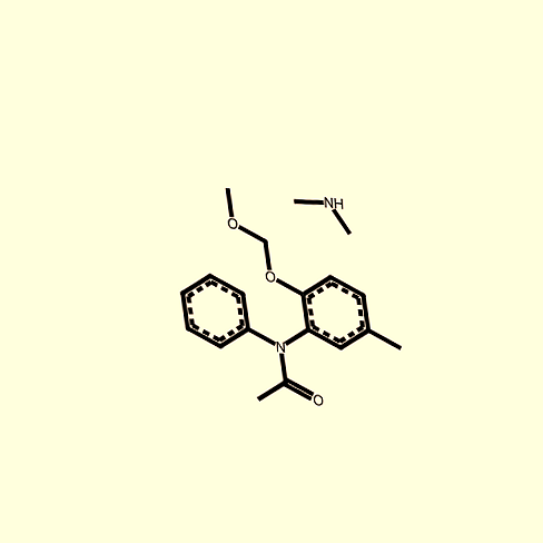 CNC.COCOc1ccc(C)cc1N(C(C)=O)c1ccccc1